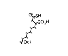 CCCCCCCCCCCCCCC(CC(=O)S)C(=O)O